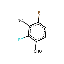 N#Cc1c(Br)ccc(C=O)c1F